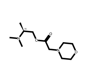 C[C@@H](COC(=O)CN1CCOCC1)N(C)C